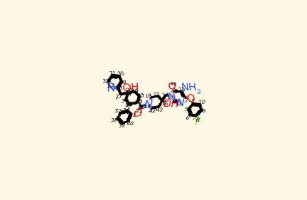 Nc1c(Oc2ccc(F)cc2)ncn(CC2(O)CCN(C(=O)[C@@H]3CC[C@@](O)(Cc4ccccn4)C[C@H]3c3ccccc3)CC2)c1=O